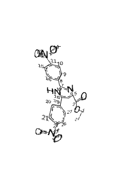 CCOC(=O)c1nc(-c2ccc([N+](=O)[O-])cc2)[nH]c1-c1ccc([N+](=O)[O-])cc1